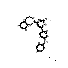 Nc1nc(-c2ccc(Oc3ccccc3)cc2)cc(N2CCCc3ccccc3C2)n1